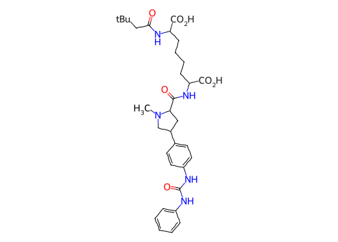 CN1CC(c2ccc(NC(=O)Nc3ccccc3)cc2)CC1C(=O)NC(CCCCC(NC(=O)CC(C)(C)C)C(=O)O)C(=O)O